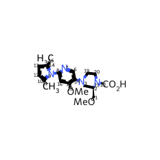 COC[C@H]1CN(c2cnc(-n3c(C)ccc3C)cc2OC)CCN1C(=O)O